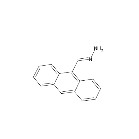 NN=Cc1c2ccccc2cc2ccccc12